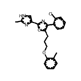 Cc1nc(-c2nc(-c3ccccc3Cl)c(CCCOc3ccccc3C)o2)c[nH]1